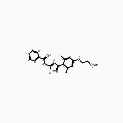 COCCOC1=CC(C)C(c2csc(NC(=O)c3ccncc3)n2)C(C)=C1